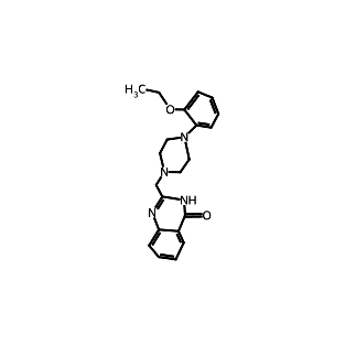 CCOc1ccccc1N1CCN(Cc2nc3ccccc3c(=O)[nH]2)CC1